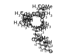 CC[C@H]1OC(=O)[C@H](C)[C@@H](O[C@@H]2C[C@](C)(OC)[C@H](O)C(C)O2)[C@H](C)C(O[C@@H]2O[C@H](C)C[C@@H](N(C)C)[C@H]2O)[C@](C)(O)C[C@@H](C)CN(CCCNC(=O)[C@@]2(OC)CCC3C4CCC5=CC(=O)CC[C@]5(C)C4[C@@H](O)C[C@@]32C)[C@H](C)[C@@H](O)[C@]1(C)O